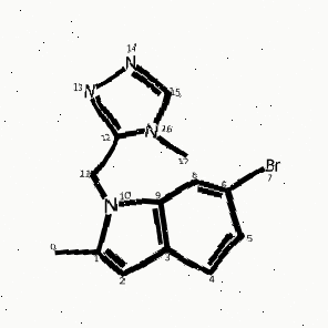 Cc1cc2ccc(Br)cc2n1Cc1nncn1C